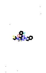 CC(C)N(C(=O)c1cnc(N2CCC3CCCCC3C2)nc1-c1ccccc1F)C1CCSC1